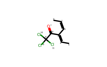 C/C=C\C(=C/C)C(=O)C(Cl)(Cl)Cl